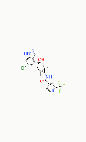 O=C(NC1[C@H]2CC(O)(c3cc(Cl)cc4[nH]ncc34)C[C@@H]12)c1ccnc(C(F)(F)F)c1